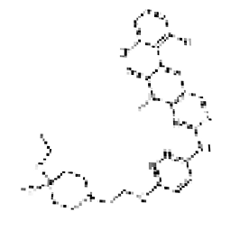 CCO[P]1(O)CCN(CCOc2ccc(Nc3ncc4cc(-c5c(Cl)cccc5Cl)c(=O)n(C)c4n3)nn2)CC1